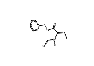 C/C=C(/C(=O)OCc1ccccc1)N(C)C=N